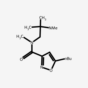 CCCCc1cc(C(=O)N(C)CC(C)(C)NC)no1